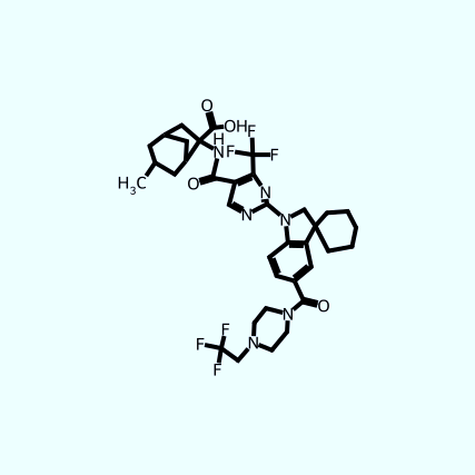 CC1CC2CC(C1)C(NC(=O)c1cnc(N3CC4(CCCCC4)c4cc(C(=O)N5CCN(CC(F)(F)F)CC5)ccc43)nc1C(F)(F)F)(C(=O)O)C2